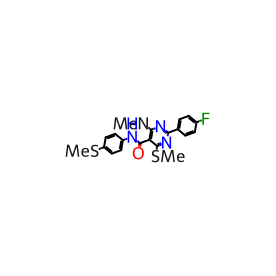 CNc1nc(-c2ccc(F)cc2)nc(SC)c1C(=O)Nc1ccc(SC)cc1